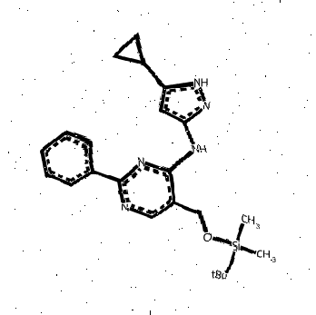 CC(C)(C)[Si](C)(C)OCc1cnc(-c2ccccc2)nc1Nc1cc(C2CC2)[nH]n1